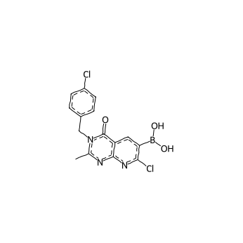 Cc1nc2nc(Cl)c(B(O)O)cc2c(=O)n1Cc1ccc(Cl)cc1